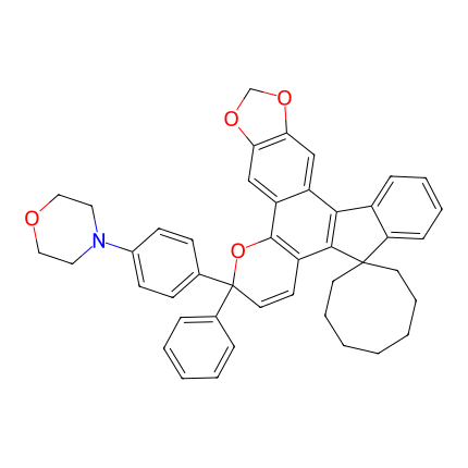 C1=CC(c2ccccc2)(c2ccc(N3CCOCC3)cc2)Oc2c1c1c(c3cc4c(cc23)OCO4)-c2ccccc2C12CCCCCCC2